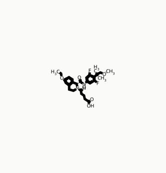 CCOc1ccc2c(c1)CCN(C(=O)CCCC(=O)O)[C@H]2C(=O)Nc1cc(F)c(C(C)(C)COC)c(F)c1